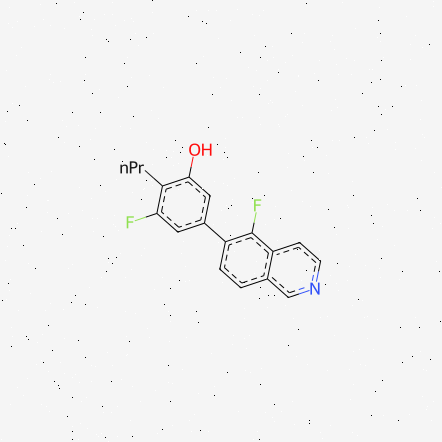 CCCc1c(O)cc(-c2ccc3cnccc3c2F)cc1F